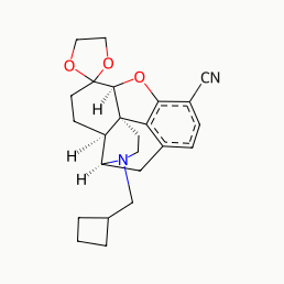 N#Cc1ccc2c3c1O[C@@H]1C4(CC[C@@H]5[C@H](C2)N(CC2CCC2)CC[C@]351)OCCO4